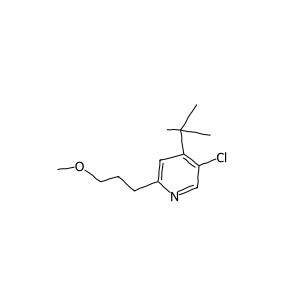 COCCCc1cc(C(C)(C)C)c(Cl)cn1